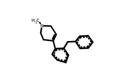 CN1CC=C(c2ccccc2Cc2ccccc2)CC1